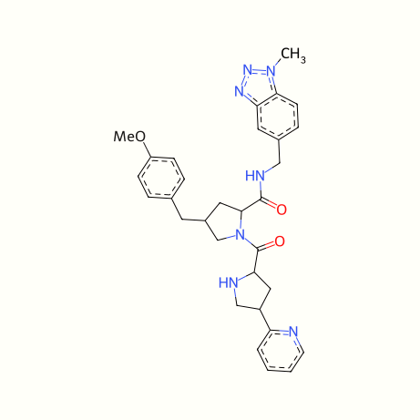 COc1ccc(CC2CC(C(=O)NCc3ccc4c(c3)nnn4C)N(C(=O)C3CC(c4ccccn4)CN3)C2)cc1